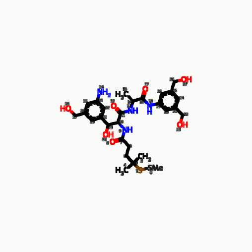 CSSC(C)(C)CCC(=O)N[C@H](C(=O)N[C@@H](C)C(=O)Nc1cc(CO)cc(CO)c1)C(O)c1cc(N)cc(CO)c1